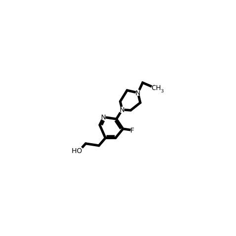 CCN1CCN(c2ncc(CCO)cc2F)CC1